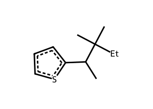 CCC(C)(C)C(C)c1cccs1